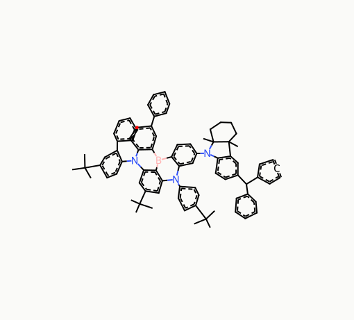 CC(C)(C)c1ccc(N2c3cc(N4c5ccc(C(c6ccccc6)c6ccccc6)cc5C5(C)CCCCC45C)ccc3B3c4cc(-c5ccccc5)ccc4N(c4ccc(C(C)(C)C)cc4-c4ccccc4)c4cc(C(C)(C)C)cc2c43)cc1